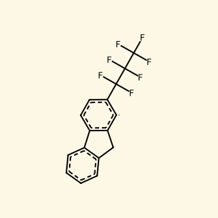 FC(F)(F)C(F)(F)C(F)(F)c1[c]c2c(cc1)-c1ccccc1C2